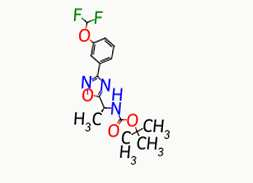 C[C@H](NC(=O)OC(C)(C)C)c1nc(-c2cccc(OC(F)F)c2)no1